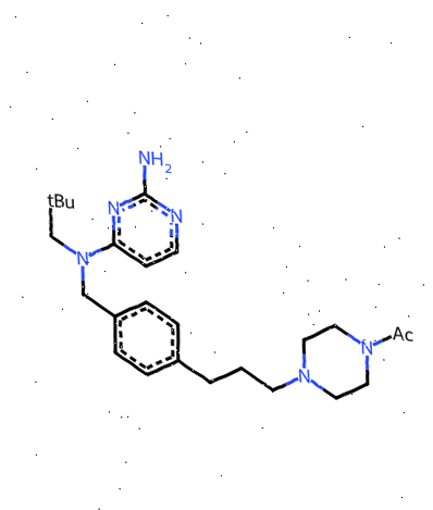 CC(=O)N1CCN(CCCc2ccc(CN(CC(C)(C)C)c3ccnc(N)n3)cc2)CC1